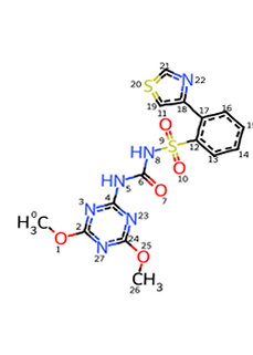 COc1nc(NC(=O)NS(=O)(=O)c2ccccc2-c2cscn2)nc(OC)n1